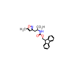 Cc1cc(C[C@H](NC(=O)OCC2c3ccccc3-c3ccccc32)C(=O)O)no1